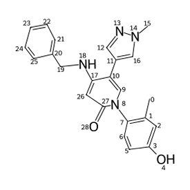 Cc1cc(O)ccc1-n1cc(-c2cnn(C)c2)c(NCc2ccccc2)cc1=O